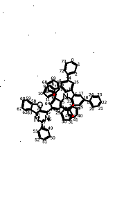 c1ccc(-c2cc(-c3ccccc3)c3c(c2)c2cc(-c4ccccc4)cc(-c4ccccc4)c2n3-c2c(-c3ccccc3)cc(-c3nc(-c4ccccc4)nc4c3oc3ccccc34)cc2-c2ccccc2)cc1